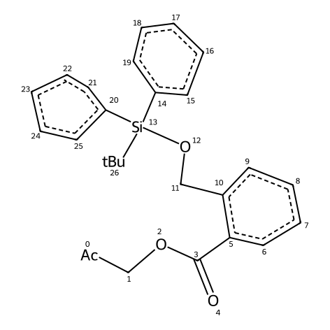 CC(=O)COC(=O)c1ccccc1CO[Si](c1ccccc1)(c1ccccc1)C(C)(C)C